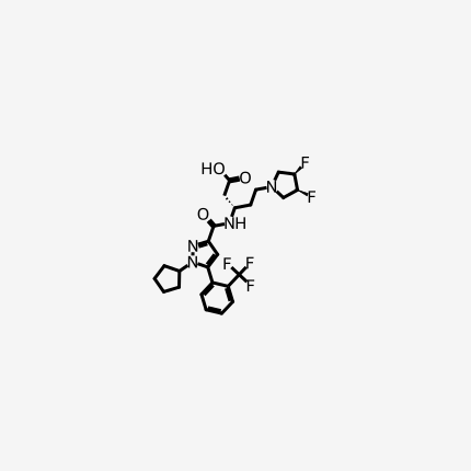 O=C(O)C[C@H](CCN1C[C@@H](F)[C@@H](F)C1)NC(=O)c1cc(-c2ccccc2C(F)(F)F)n(C2CCCC2)n1